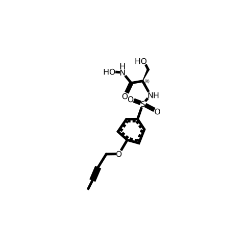 CC#CCOc1ccc(S(=O)(=O)N[C@H](CO)C(=O)NO)cc1